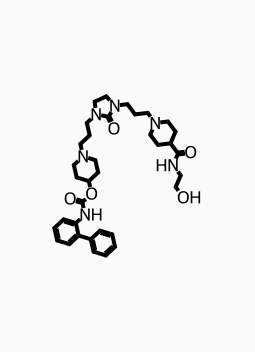 O=C(Nc1ccccc1-c1ccccc1)OC1CCN(CCCN2CCN(CCCN3CCC(C(=O)NCCO)CC3)C2=O)CC1